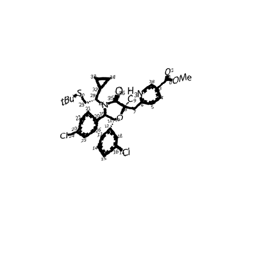 COC(=O)c1ccc(C[C@@]2(C)O[C@H](c3cccc(Cl)c3)C(c3ccc(Cl)cc3)N([C@H](CSC(C)(C)C)C3CC3)C2=O)nc1